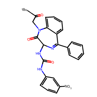 CC(C)(C)C(=O)CN1C(=O)C(NC(=O)Nc2cccc([N+](=O)[O-])c2)N=C(c2ccccc2)c2ccccc21